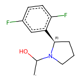 [CH2]C(O)N1CCC[C@@H]1c1cc(F)ccc1F